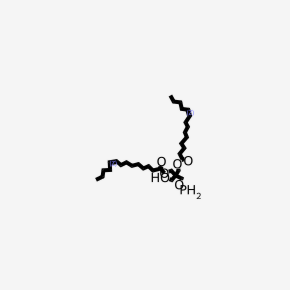 CCCC/C=C\CCCCCCCC(=O)OCC(CO)(COP)COC(=O)CCCCCCC/C=C\CCCC